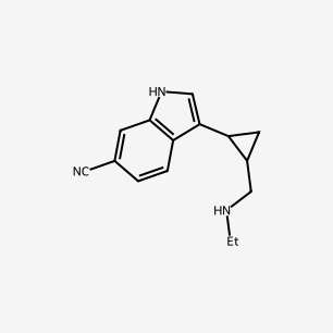 CCNCC1CC1c1c[nH]c2cc(C#N)ccc12